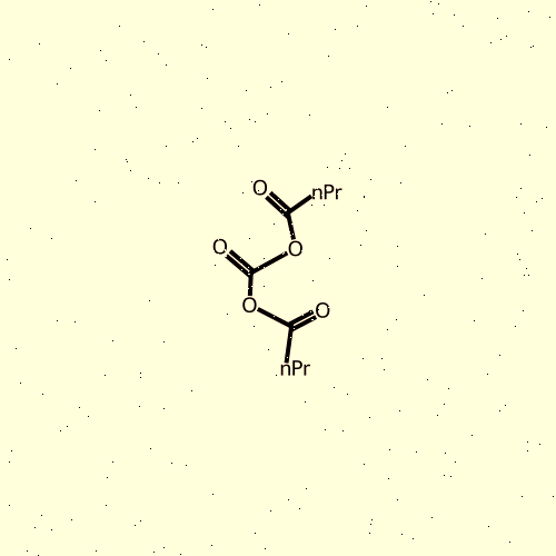 CCCC(=O)OC(=O)OC(=O)CCC